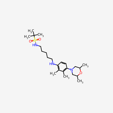 Cc1c(NCCCCCNS(=O)(=O)C(C)(C)C)ccc(N2CC(C)OC(C)C2)c1C